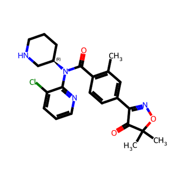 Cc1cc(C2=NOC(C)(C)C2=O)ccc1C(=O)N(c1ncccc1Cl)[C@@H]1CCCNC1